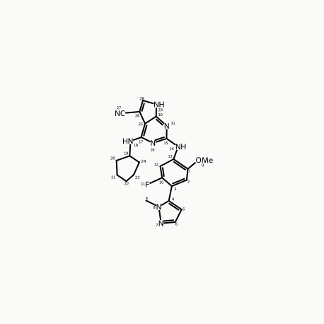 COc1cc(-c2ccnn2C)c(F)cc1Nc1nc(NC2CCCCC2)c2c(C#N)c[nH]c2n1